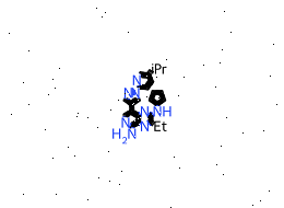 CCc1nc2c(N)ncc(-c3cnn(-c4ccc(C(C)C)cn4)c3)c2nc1NC1CCCC1